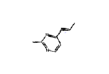 C/C=C/c1ccnc(C)n1